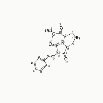 CC(C)(C)OC(=O)C1CNCC2C(=O)N(OCc3ccccc3)C(=O)N12